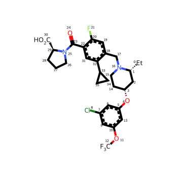 CC[C@@H]1C[C@H](Oc2cc(Cl)cc(OC(F)(F)F)c2)CCN1Cc1cc(F)c(C(=O)N2CCC[C@H]2C(=O)O)cc1C1CC1